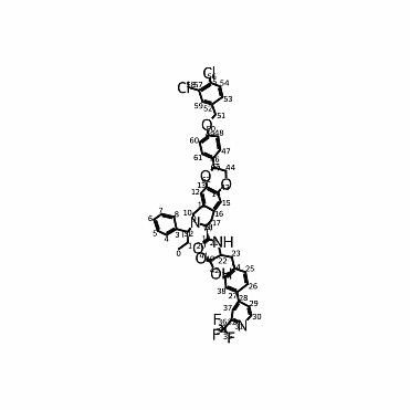 CC[C@@H](c1ccccc1)N1Cc2cc3c(cc2C[C@H]1C(=O)NC(Cc1ccc(-c2ccnc(C(F)(F)F)c2)cc1)C(=O)O)OC[C@H](c1ccc(OCc2ccc(Cl)c(Cl)c2)cc1)O3